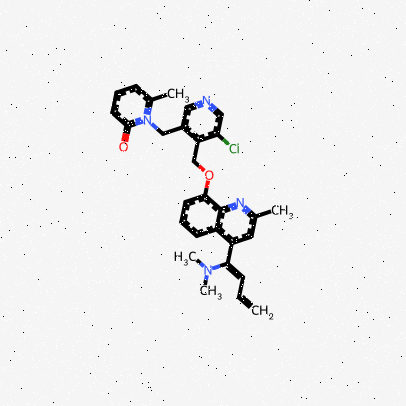 C=C/C=C(/c1cc(C)nc2c(OCc3c(Cl)cncc3Cn3c(C)cccc3=O)cccc12)N(C)C